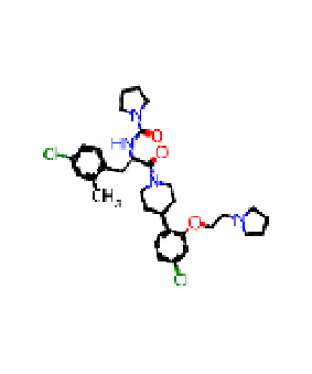 Cc1cc(Cl)ccc1C[C@@H](NC(=O)N1CCCC1)C(=O)N1CCC(c2ccc(Cl)cc2OCCN2CCCC2)CC1